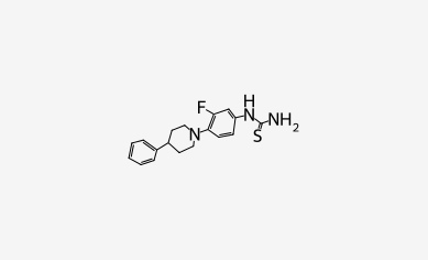 NC(=S)Nc1ccc(N2CCC(c3ccccc3)CC2)c(F)c1